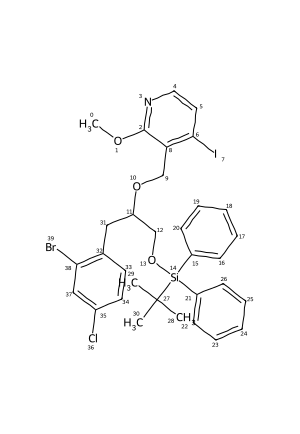 COc1nccc(I)c1COC(CO[Si](c1ccccc1)(c1ccccc1)C(C)(C)C)Cc1ccc(Cl)cc1Br